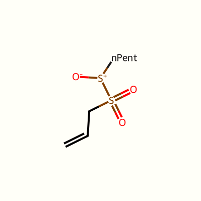 C=CCS(=O)(=O)[S+]([O-])CCCCC